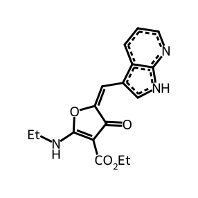 CCNC1=C(C(=O)OCC)C(=O)C(=Cc2c[nH]c3ncccc23)O1